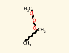 CCCCCCCC(C)OCCOCCOCC